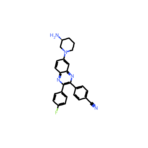 N#Cc1ccc(-c2nc3cc(N4CCC[C@H](N)C4)ccc3nc2-c2ccc(F)cc2)cc1